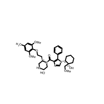 COC[C@]1(O)CCCC[C@H]1n1cnc(C(=O)N2CCNC[C@H]2CCOc2c(OC)cc(C)cc2OC)c1-c1ccccc1.Cl